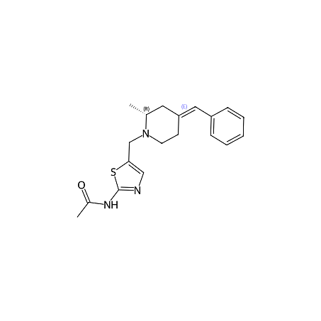 CC(=O)Nc1ncc(CN2CC/C(=C\c3ccccc3)C[C@H]2C)s1